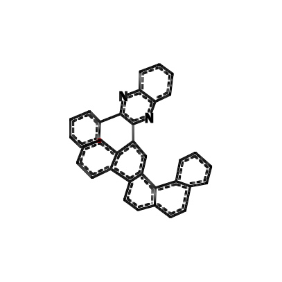 c1ccc(-c2nc3ccccc3nc2-c2cc3c(ccc4ccc5ccccc5c43)c3ccccc23)cc1